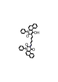 O=C1/C(=C/C=CC=Cc2c(O)c3c4ccccc4ccc3n(-c3ccccc3)c2=O)C(=O)N(c2ccccc2)c2ccc3ccccc3c21